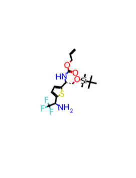 C=CCOC(=O)N[C@H](CO[Si](C)(C)C(C)(C)C)c1ccc([C@@H](N)C(F)(F)F)s1